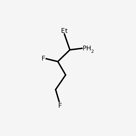 CCC(P)C(F)CCF